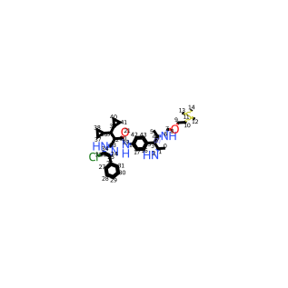 CC(=N)/C(=C(/C)NCOCCS(C)(C)C)c1ccc(NC(=O)C(c2nc(-c3ccccc3)c(Cl)[nH]2)C(C2CC2)C2CC2)cc1